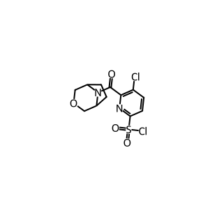 O=C(c1nc(S(=O)(=O)Cl)ccc1Cl)N1C2CCC1COC2